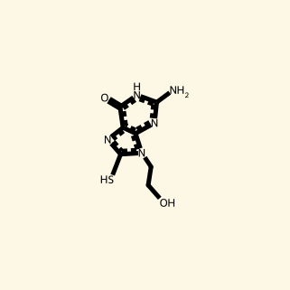 Nc1nc2c(nc(S)n2CCO)c(=O)[nH]1